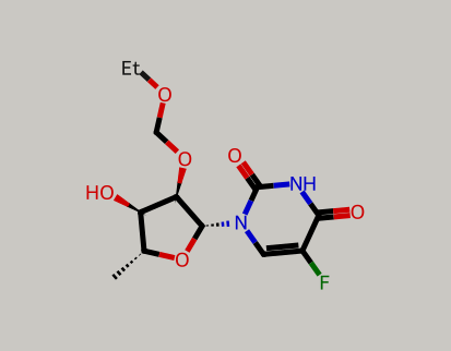 CCOCO[C@@H]1[C@H](O)[C@@H](C)O[C@H]1n1cc(F)c(=O)[nH]c1=O